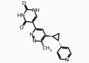 Cc1nnc(-c2c[nH]c(=O)[nH]c2=O)cc1[C@H]1C[C@@H]1c1ccncc1